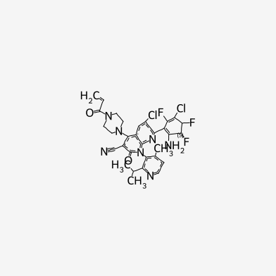 C=CC(=O)N1CCN(c2c(C#N)c(=O)n(-c3c(C)ccnc3C(C)C)c3nc(C4=C(N)[C@H](F)C(F)C(Cl)=C4F)c(Cl)cc23)CC1